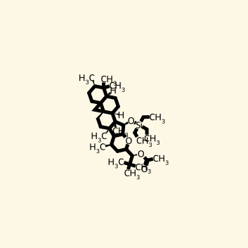 CC[Si](CC)(CC)O[C@H]1C2OC([C@H](OC(C)=O)C(C)(C)C)C[C@@H](C)C2[C@@]2(C)CC[C@@]34CC35CC[C@H](C)C(C)(C)[C@@H]5CC[C@H]4[C@]12C